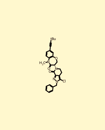 CN1C(=O)[C@@H](N2CCc3c(nn(Cc4ccccc4)c3Cl)C2=O)COc2cc(C#CC(C)(C)C)ccc21